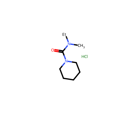 CCN(C)C(=O)N1CCCCC1.Cl